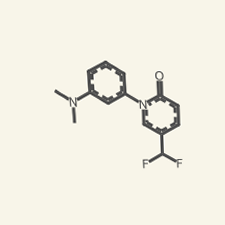 CN(C)c1cccc(-n2cc(C(F)F)ccc2=O)c1